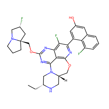 CC[C@@H]1CN2c3nc(OC[C@@]45CCCN4C[C@H](F)C5)nc4c(F)c(-c5cc(O)cc6cccc(F)c56)nc(c34)OC[C@@H]2CN1